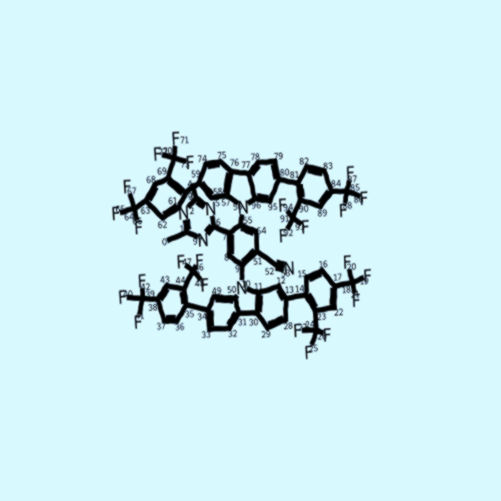 Cc1nc(C)nc(-c2cc(-n3c4cc(-c5ccc(C(F)(F)F)cc5C(F)(F)F)ccc4c4ccc(-c5ccc(C(F)(F)F)cc5C(F)(F)F)cc43)c(C#N)cc2-n2c3cc(-c4ccc(C(F)(F)F)cc4C(F)(F)F)ccc3c3ccc(-c4ccc(C(F)(F)F)cc4C(F)(F)F)cc32)n1